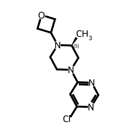 C[C@H]1CN(c2cc(Cl)ncn2)CCN1C1COC1